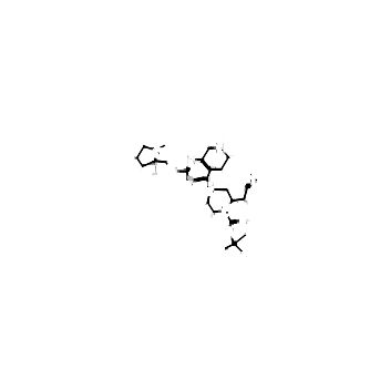 CN1CCC[C@@]1(C)COc1nc2c(c(N3CCN(C(=O)OC(C)(C)C)C(CC#N)C3)n1)CCNC2